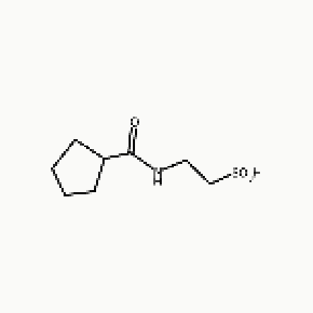 O=C(NCCS(=O)(=O)O)C1CCCC1